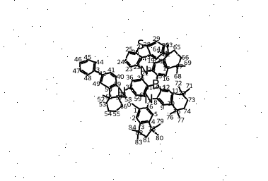 Cc1cc2c(cc1N1c3cc4c(cc3B3c5cc6c(cc5N(c5cccc7sc8ccccc8c57)c5cc(N7c8ccc(-c9ccccc9)cc8C8(C)CCCCC78C)cc1c53)C(C)(C)CCC6(C)C)C(C)(C)CCC4(C)C)C(C)(C)CC2(C)C